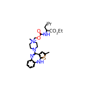 CCOC(=O)[C@H](CC(C)C)NC(=O)OC[N+]1(C)CCN(C2=Nc3ccccc3Nc3sc(C)cc32)CC1